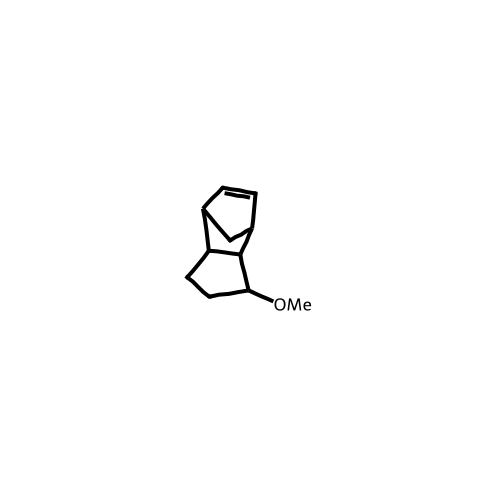 COC1CCC2C3C=CC(C3)C12